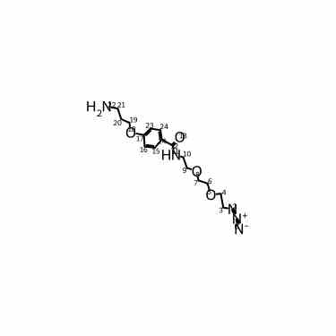 [N-]=[N+]=NCCOCCOCCNC(=O)c1ccc(OCCCN)cc1